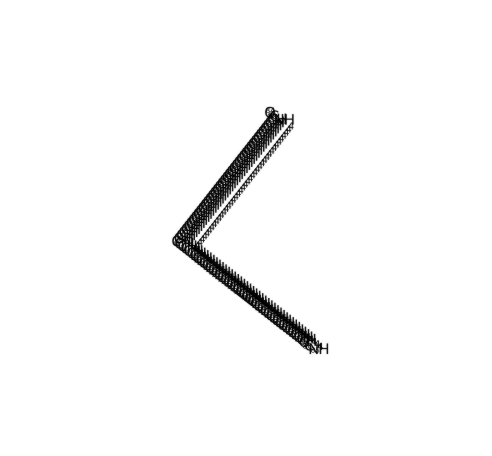 C.C.C.C.C.C.C.C.C.C.C.C.C.C.C.C.C.C.C.C.C.C.C.C.C.C.C.C.C.C.C.C.C.C.C.C.C.C.C.C.C.C.C.C.C.C.C.C.C.C.C.C.C.C.C.C.C.C.C.C.C.C.C.C.C.C.C.C.C.C.C.C.C.C.C.C.C.C.C.C.C.C.N=C=O.N=C=O